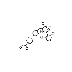 COCC(=O)N1CCC(c2ccc(C[C@H](NC(=O)c3c(Cl)cccc3Cl)C(=O)O)cc2)CC1